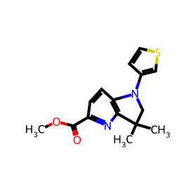 COC(=O)c1ccc2c(n1)C(C)(C)CN2c1ccsc1